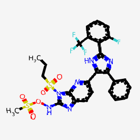 CCCS(=O)(=O)n1c(NOS(C)(=O)=O)nc2ccc(-c3[nH]c(-c4c(F)cccc4C(F)(F)F)nc3-c3ccccc3)nc21